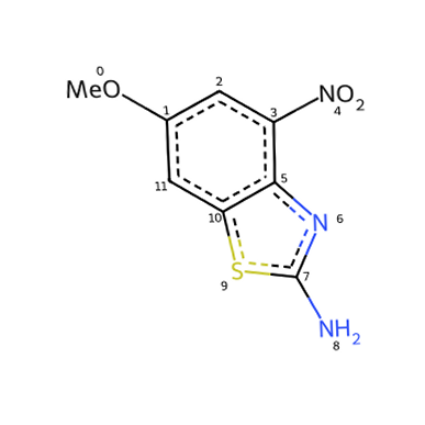 COc1cc([N+](=O)[O-])c2nc(N)sc2c1